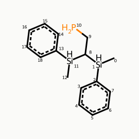 C[SiH](c1ccccc1)C(CP)[SiH](C)c1ccccc1